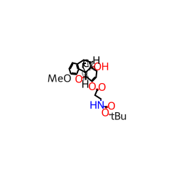 COc1ccc2c3c1O[C@H]1C(OC(=O)CCNC(=O)OC(C)(C)C)=CC[C@@]4(O)[C@H](CCC[C@]314)C2